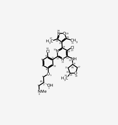 CNC[C@@H](O)COc1ccc(Cl)c(-c2nc(N[C@H]3CO[C@@H](C)C3)c(Cl)c(-c3c(C)noc3C)n2)c1